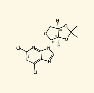 CC1(C)O[C@H]2[C@H](n3cnc4c(Cl)nc(Cl)nc43)OC[C@H]2O1